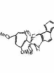 COc1ccc(S(=O)(=O)Nc2ccc3ccccc3c2C(=O)O)c(OC)c1